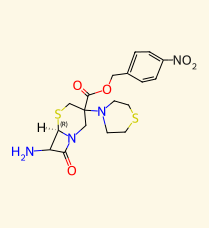 NC1C(=O)N2CC(C(=O)OCc3ccc([N+](=O)[O-])cc3)(N3CCSCC3)CS[C@H]12